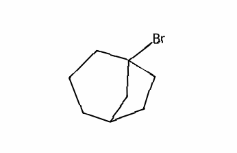 BrC12CCCC(CC1)C2